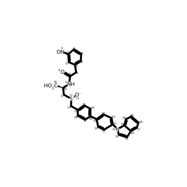 O=Nc1cccc(CC(=O)N[C@@H](C[S+]([O-])Cc2ccc(-c3ccc(-n4ccc5ccccc54)cc3)cc2)C(=O)O)c1